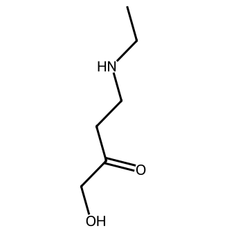 CCNCCC(=O)CO